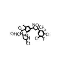 CCC1=NOC(N(C=O)C(=O)c2ccc(C3=NO[C@@](c4cc(Cl)c(F)c(Cl)c4)(C(F)(F)F)C3)cc2C)C1